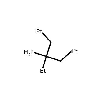 CCC(P)(CC(C)C)CC(C)C